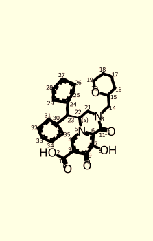 O=C(O)c1cn2c(c(O)c1=O)C(=O)N(CC1CCCCO1)C[C@@H]2C(c1ccccc1)c1ccccc1